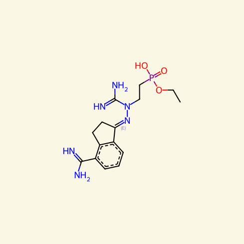 CCOP(=O)(O)CCN(/N=C1\CCc2c(C(=N)N)cccc21)C(=N)N